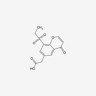 CCS(=O)(=O)c1cc(CC(=O)O)cc2c(=O)ccoc12